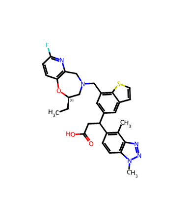 CC[C@@H]1CN(Cc2cc(C(CC(=O)O)c3ccc4c(nnn4C)c3C)cc3ccsc23)Cc2nc(F)ccc2O1